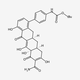 CC(C)(C)OC(=O)Nc1ccc(-c2ccc(O)c3c2C[C@H]2C[C@H]4CC(O)=C(C(N)=O)C(=O)[C@@]4(O)C(O)=C2C3=O)cc1